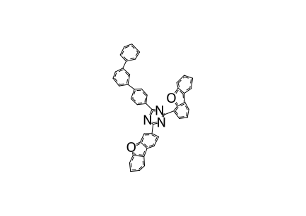 c1ccc(-c2cccc(-c3ccc(-c4nc(-c5ccc6c(c5)oc5ccccc56)nc(-c5cccc6c5oc5ccccc56)n4)cc3)c2)cc1